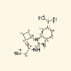 CCC(O)c1ccc2nc(NC(=O)CC(C)(C)C)n(C3CCC3)c2c1